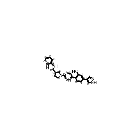 Oc1cc(-c2cn[nH]c2)ccc1-c1cnc(N2CCC(CNC3=CC=CON3)C2)nn1